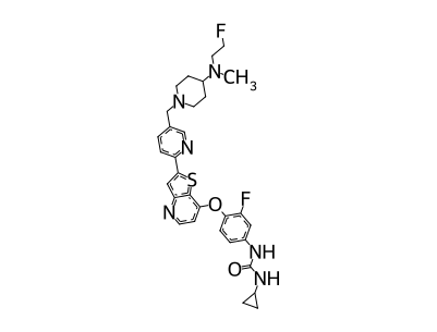 CN(CCF)C1CCN(Cc2ccc(-c3cc4nccc(Oc5ccc(NC(=O)NC6CC6)cc5F)c4s3)nc2)CC1